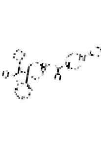 O=C(CN1CCC2(CC1)c1ccccc1C(=O)N2C1CCC1)N1CCN(C2CCC2)CC1